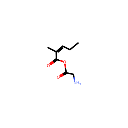 CCC=C(C)C(=O)OC(=O)CN